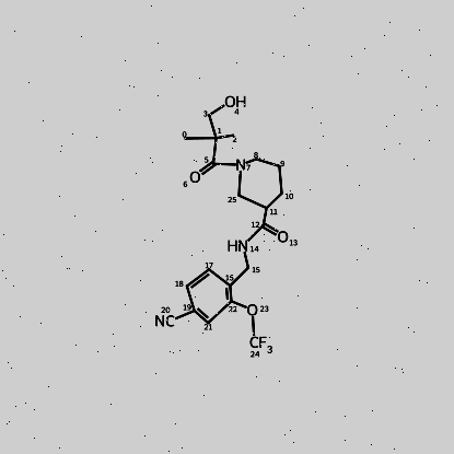 CC(C)(CO)C(=O)N1CCCC(C(=O)NCc2ccc(C#N)cc2OC(F)(F)F)C1